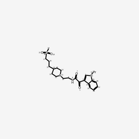 CC(C)n1cc(C(=O)C(=O)NCCN2CCC(CCCS(C)(=O)=O)CC2)c2ccccc21